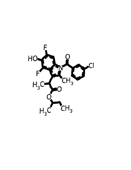 CCC(C)OC(=O)C(C)c1c(C)n(C(=O)c2cccc(Cl)c2)c2cc(F)c(O)c(F)c12